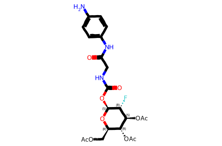 CC(=O)OC[C@H]1O[C@@H](OC(=O)NCC(=O)Nc2ccc(N)cc2)[C@H](F)[C@@H](OC(C)=O)[C@@H]1OC(C)=O